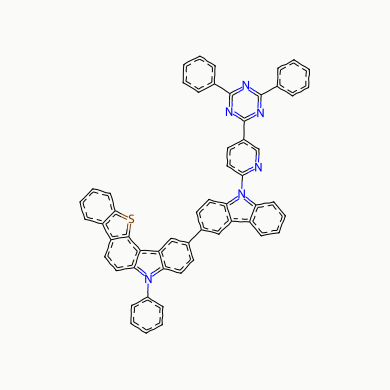 c1ccc(-c2nc(-c3ccccc3)nc(-c3ccc(-n4c5ccccc5c5cc(-c6ccc7c(c6)c6c8sc9ccccc9c8ccc6n7-c6ccccc6)ccc54)nc3)n2)cc1